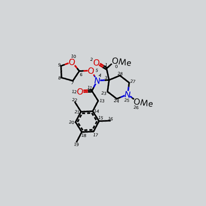 COC(=O)C1(N(OC2CCCO2)C(=O)Cc2c(C)cc(C)cc2C)CCN(OC)CC1